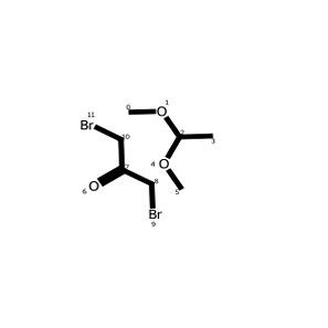 COC(C)OC.O=C(CBr)CBr